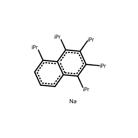 CC(C)c1c(C(C)C)c(C(C)C)c2c(C(C)C)cccc2c1C(C)C.[Na]